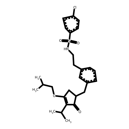 CC(C)COC1=C(C(C)C)C(=O)C(Cc2cccc(CCNS(=O)(=O)c3ccc(Cl)cc3)c2)C1